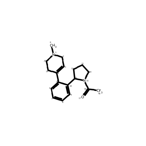 CN1CC=C(c2ccccc2C2CCCN2C(=O)C(F)(F)F)CC1